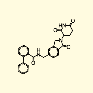 O=C1CCC(N2Cc3cc(CNC(=O)c4ccccc4-c4ccccc4)ccc3C2=O)C(=O)N1